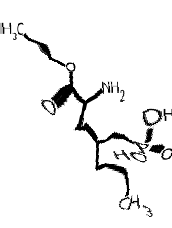 CCCOC(=O)C(N)C=C(CCC)CP(=O)(O)O